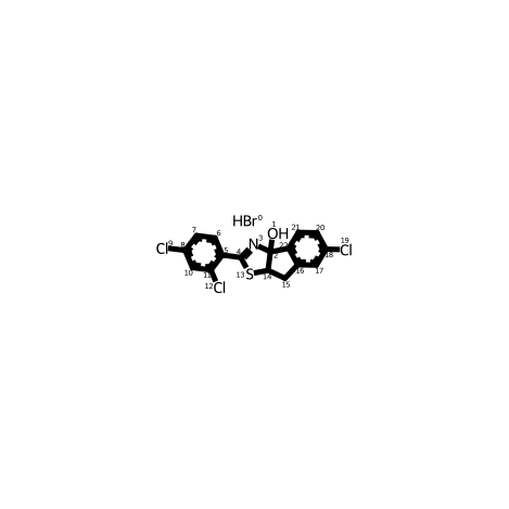 Br.OC12N=C(c3ccc(Cl)cc3Cl)SC1Cc1cc(Cl)ccc12